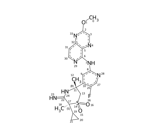 COc1cnc2c(Nc3cc([C@]4(C)CS(=O)(=O)[C@@](C)(C5CC5)C(=N)N4)c(F)cn3)nccc2n1